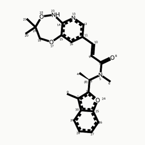 Cc1c([C@@H](C)N(C)C(=O)C=Cc2cnc3c(c2)OCC(C)(C)ON3)oc2ccccc12